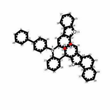 c1ccc(-c2ccc(N(c3ccc4oc5ccccc5c4c3)c3ccccc3-c3cccc4c3oc3c5ccccc5ccc43)cc2)cc1